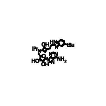 CC(C)N(C[C@H]1O[C@@H](n2cnc3c(N)ncnc32)[C@H](O)[C@@H]1O)C1CC(CCc2nc3cc(C(C)(C)C)ccc3[nH]2)C1O